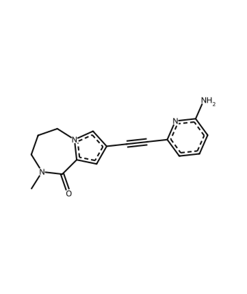 CN1CCCn2cc(C#Cc3cccc(N)n3)cc2C1=O